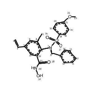 C=Cc1cc(C)c(N(Cc2ccccc2)S(=O)(=O)c2ccc(OC)cc2)c(C(=O)NO)c1